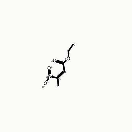 CCOC(=O)/C=C(/C)[N+](=O)[O-]